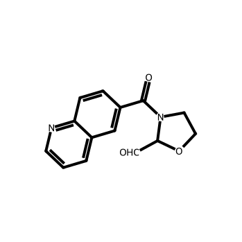 O=CC1OCCN1C(=O)c1ccc2ncccc2c1